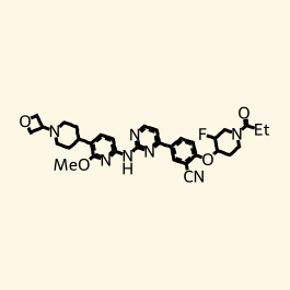 CCC(=O)N1CCC(Oc2ccc(-c3ccnc(Nc4ccc(C5CCN(C6COC6)CC5)c(OC)n4)n3)cc2C#N)C(F)C1